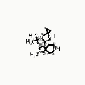 CN1CC(C2CNC3(CC3)CN2C(C)(C)C)C2(CCNCC2)C1